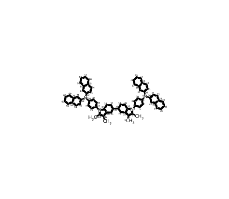 Cc1c(C)n(-c2ccc(N(c3ccc4ccccc4c3)c3ccc4ccccc4c3)cc2)c2ccc(-c3ccc4c(c3)c(C)c(C)n4-c3ccc(N(c4ccc5ccccc5c4)c4ccc5ccccc5c4)cc3)cc12